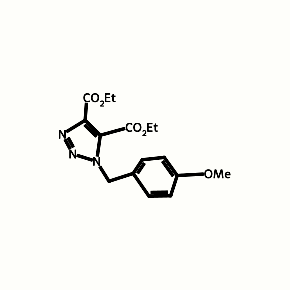 CCOC(=O)c1nnn(Cc2ccc(OC)cc2)c1C(=O)OCC